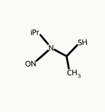 CC(C)N(N=O)C(C)S